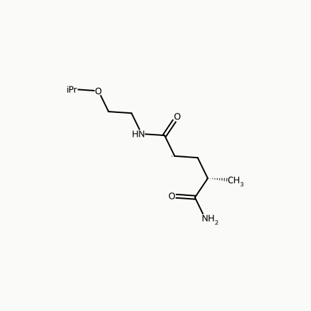 CC(C)OCCNC(=O)[CH]C[C@H](C)C(N)=O